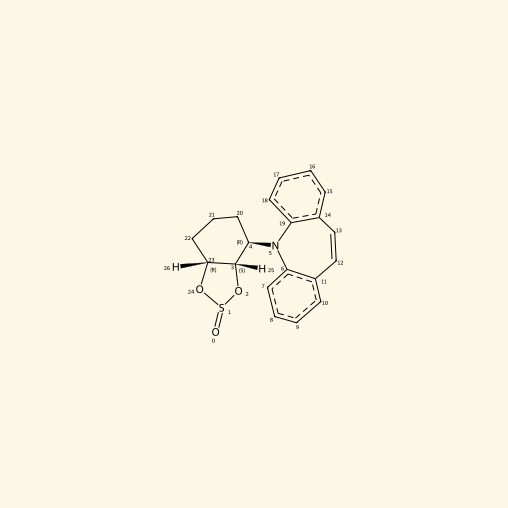 O=S1O[C@H]2[C@H](N3c4ccccc4C=Cc4ccccc43)CCC[C@H]2O1